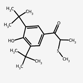 CSC(C)C(=O)c1cc(C(C)(C)C)c(O)c(C(C)(C)C)c1